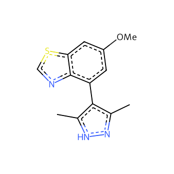 COc1cc(-c2c(C)n[nH]c2C)c2ncsc2c1